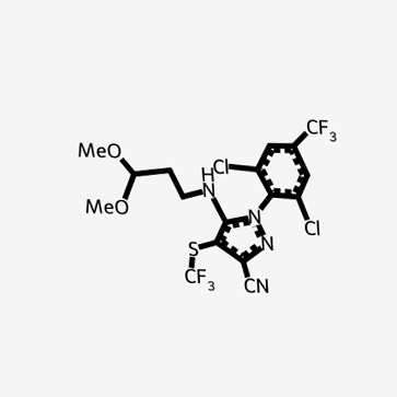 COC(CCNc1c(SC(F)(F)F)c(C#N)nn1-c1c(Cl)cc(C(F)(F)F)cc1Cl)OC